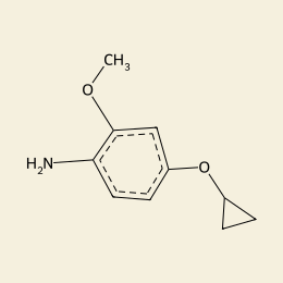 COc1cc(OC2CC2)ccc1N